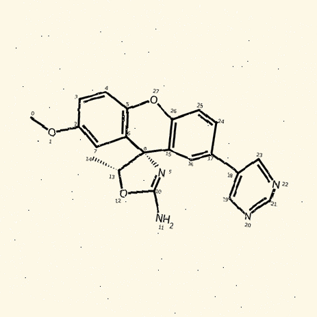 COc1ccc2c(c1)[C@@]1(N=C(N)O[C@@H]1C)c1cc(-c3cncnc3)ccc1O2